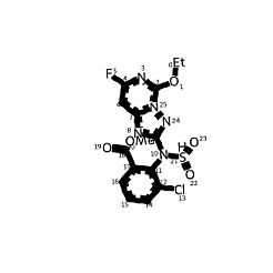 CCOc1nc(F)cc2nc(N(c3c(Cl)cccc3C(=O)OC)[SH](=O)=O)nn12